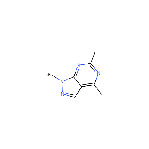 Cc1nc(C)c2cnn(C(C)C)c2n1